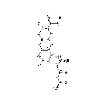 Cc1cc(CN2CCN(C(=O)OC(C)C)[C@@H](C)C2)c(C)c(NC(=N)OC(=N)C[C@@H](O)C(F)(F)F)c1